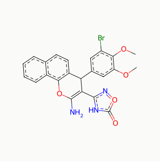 COc1cc(C2C(c3noc(=O)[nH]3)=C(N)Oc3c2ccc2ccccc32)cc(Br)c1OC